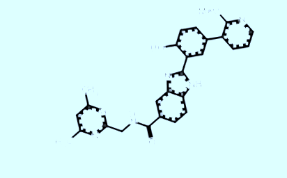 COc1ncccc1-c1ccc(O)c(-c2nc3cc(C(=O)NCc4nc(C)cc(C)n4)ccc3[nH]2)c1